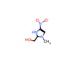 CN1C=C([N+](=O)[O-])NC1CO